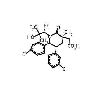 CC[C@H](N1C(=O)[C@@](C)(CC(=O)O)C[C@H](c2cccc(Cl)c2)[C@H]1c1ccc(Cl)cc1)C(C)(O)C(F)(F)F